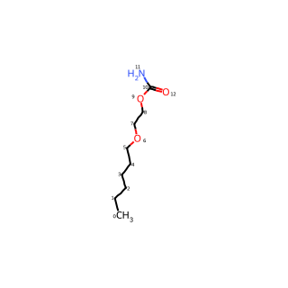 CCCCCCOCCOC(N)=O